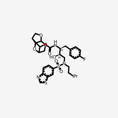 CC(C)CCN(C[C@@H](O)[C@H](Cc1ccc(F)cc1)NC(=O)OC1C2COC3OCC1C3O2)S(=O)(=O)c1ccc2ncsc2c1